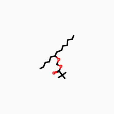 CCCCCCCC(CCCCC)OCOC(=O)C(C)(C)C